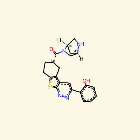 O=C([C@H]1CCc2sc3nnc(-c4ccccc4O)cc3c2C1)N1C[C@H]2C[C@@H]1CN2